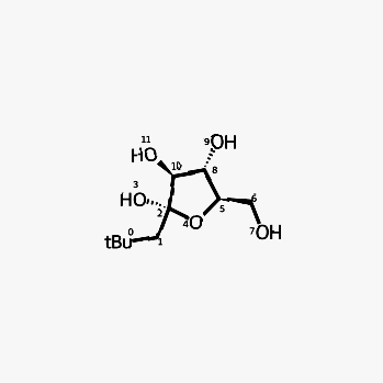 CC(C)(C)C[C@]1(O)O[C@H](CO)[C@@H](O)[C@@H]1O